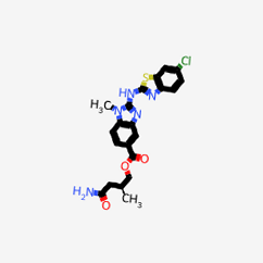 C[C@@H](COC(=O)c1ccc2c(c1)nc(Nc1nc3ccc(Cl)cc3s1)n2C)CC(N)=O